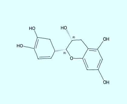 OC1=C(O)CC([C@H]2Oc3cc(O)cc(O)c3C[C@H]2O)C=C1